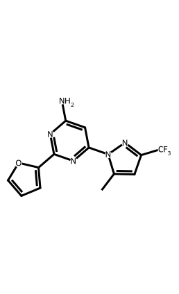 Cc1cc(C(F)(F)F)nn1-c1cc(N)nc(-c2ccco2)n1